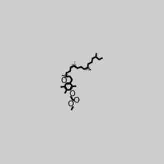 CCOC(=O)COc1c(C)c(C)c2c(c1C)CC[C@@](C)(CCC[C@H](C)CCC[C@H](C)CCCC(C)CC)O2